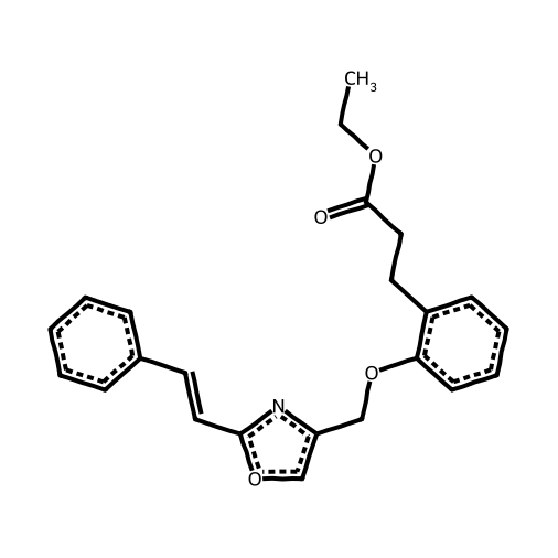 CCOC(=O)CCc1ccccc1OCc1coc(C=Cc2ccccc2)n1